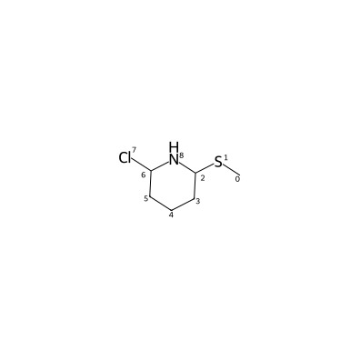 CSC1CCCC(Cl)N1